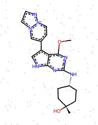 COc1nc(N[C@H]2CC[C@@](C)(O)CC2)nc2[nH]cc(-c3cc[n+]4nccn4c3)c12